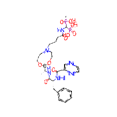 C[C@@H](NC(=O)[C@@H](Cc1ccccc1)NC(=O)c1cnccn1)B1OCCN(CCCC(=O)NC(P(C)(=O)O)P(=O)(O)O)CCO1